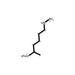 BNCCCCC(C)CCCCC